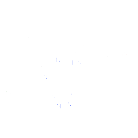 O=C1OCc2cc(NC(=O)C(Cc3ccccc3)N3CC(=O)N(c4cc(Cl)ccc4-n4cnnn4)CC3=O)ccc21